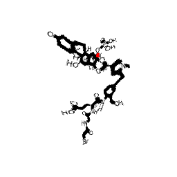 Cn1cc([C@@H]2O[C@@H]3C[C@H]4[C@@H]5CCC6=CC(=O)C=C[C@]6(C)[C@H]5[C@@H](O)C[C@]4(C)[C@]3(C(=O)COP(=O)(O)O)O2)cc1Cc1ccc(NC(=O)[C@H](CCC(=O)O)NC(=O)CNC(=O)CBr)c(CO)c1